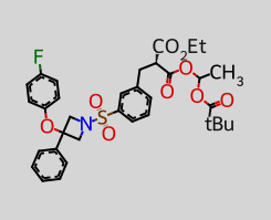 CCOC(=O)[C@H](Cc1cccc(S(=O)(=O)N2CC(Oc3ccc(F)cc3)(c3ccccc3)C2)c1)C(=O)OC(C)OC(=O)C(C)(C)C